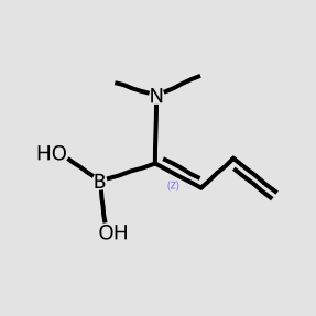 C=C/C=C(/B(O)O)N(C)C